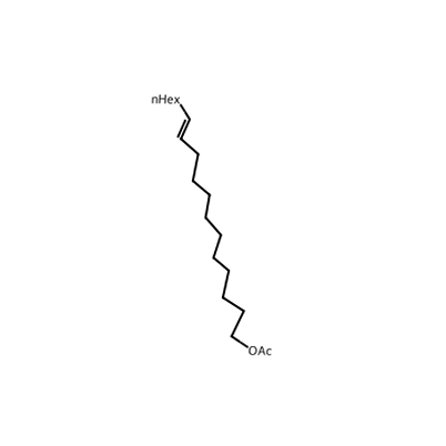 CCCCCCC=CCCCCCCCCCCOC(C)=O